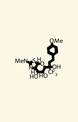 CNC1=N[C@@H]2[C@@H](O)[C@H](O)C([C@@](O)(CCc3ccc(OC)cc3)C(F)(F)F)O[C@@H]2S1